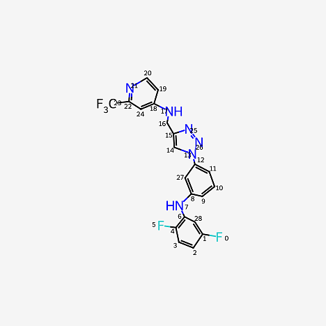 Fc1ccc(F)c(Nc2cccc(-n3cc(CNc4ccnc(C(F)(F)F)c4)nn3)c2)c1